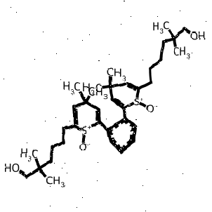 CC1(C)C=C(CCCCC(C)(C)CO)[S+]([O-])C(c2ccccc2C2=CC(C)(C)C=C(CCCCC(C)(C)CO)[S+]2[O-])=C1